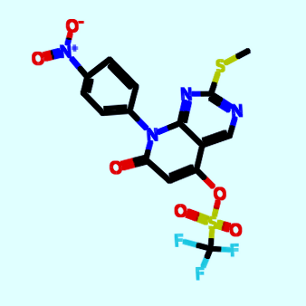 CSc1ncc2c(OS(=O)(=O)C(F)(F)F)cc(=O)n(-c3ccc([N+](=O)[O-])cc3)c2n1